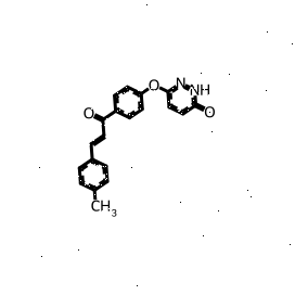 Cc1ccc(C=CC(=O)c2ccc(Oc3ccc(=O)[nH]n3)cc2)cc1